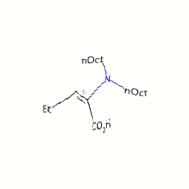 CC/C=C(\C(=O)O)N(CCCCCCCC)CCCCCCCC